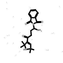 CC1(C)C=C(C(=O)CCC(N)N2C(=O)c3ccccc3C2=O)C(C)(C)N1